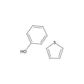 Oc1ccccc1.c1ccsc1